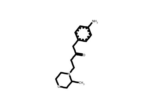 CC1COCCN1CCC(=O)Cc1ccc(N)cc1